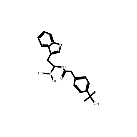 CC(C)(O)c1ccc(CC(=O)NC(Cc2coc3ccccc23)B(O)O)cc1